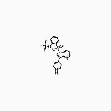 O=S(=O)(c1ccccc1OC(F)(F)F)n1cc(C2=CCNCC2)c2ncccc21